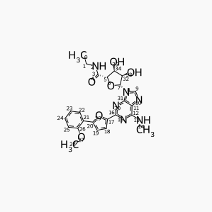 CCNC(=O)[C@H]1O[C@@H](n2cnc3c(NC)nc(-c4ccc(-c5ccccc5OC)o4)nc32)[C@H](O)[C@@H]1O